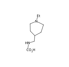 CCN1CCC(CNC(=O)O)CC1